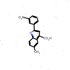 Cc1ccc2nc(-c3cccc([N+](=O)[O-])c3)cc(C(=O)O)c2c1